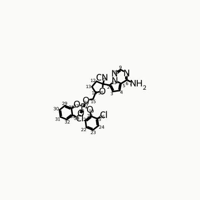 N#CC1(c2ccc3c(N)ncnn23)CCC(COP(=O)(Oc2ccccc2Cl)Oc2ccccc2Cl)O1